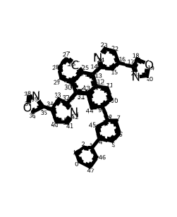 c1ccc(-c2cccc(-c3ccc4c(-c5cc(-c6cocn6)ccn5)c5ccccc5c(-c5cc(-c6cocn6)ccn5)c4c3)c2)cc1